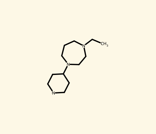 CCN1CCCN(C2CC[N]CC2)CC1